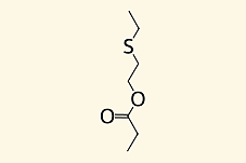 CCSCCOC(=O)CC